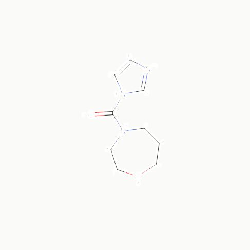 O=C(N1CCCOCC1)n1ccnc1